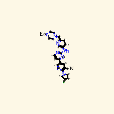 CCN1CCN(CC2=NC=C(Nc3nccc(-c4cnc(N5CC[C@H](F)C5)c(C#N)c4)n3)CC2)CC1